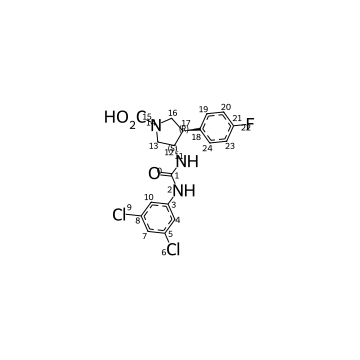 O=C(Nc1cc(Cl)cc(Cl)c1)N[C@@H]1CN(C(=O)O)C[C@H]1c1ccc(F)cc1